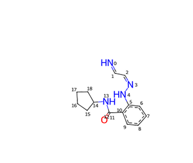 N=C/C=N\Nc1ccccc1C(=O)NC1CCCC1